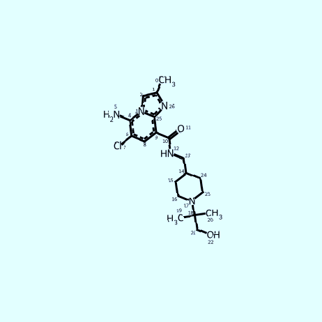 Cc1cn2c(N)c(Cl)cc(C(=O)NCC3CCN(C(C)(C)CO)CC3)c2n1